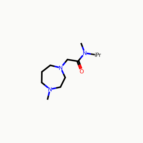 CC(C)N(C)C(=O)CN1CCCN(C)CC1